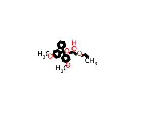 C/C=C\COCC(O)COC(c1ccccc1)(c1ccc(OC)cc1)c1ccc(OC)cc1